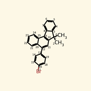 CC1(C)c2ccccc2-c2c1cc(-c1ccc(Br)cc1)c1ccccc21